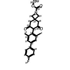 Cc1cc(-c2ccc(F)cc2)cc(C)c1C1C(=O)CC2(CC1=O)CN(C(=O)OC(C)(C)C)C2